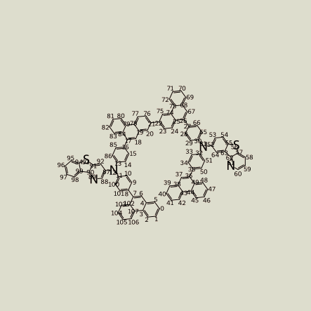 c1ccc2c(c1)cc(-c1ccc(N(c3ccc(-c4cc5cc(-c6ccc7c(-c8ccc(N(c9ccc(-c%10cc%11ccccc%11c%11ccccc%10%11)cc9)c9ccc%10sc%11cccnc%11c%10c9)cc8)cc8ccccc8c7c6)ccc5c5ccccc45)cc3)c3cnc4c(c3)sc3ccccc34)cc1)c1ccccc12